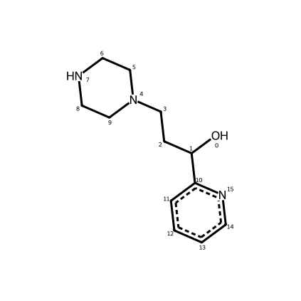 OC(CCN1CCNCC1)c1ccccn1